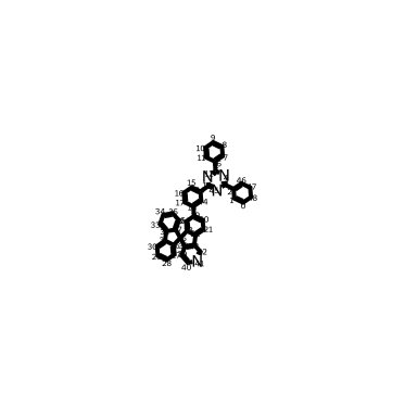 C1=CC(c2nc(-c3ccccc3)nc(-c3cccc(-c4ccc5c(c4)C4(c6ccccc6-c6ccccc64)c4ccncc4-5)c3)n2)=CCC1